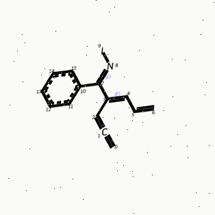 C=C=CC(=C\C=C)/C(=N/I)c1ccccc1